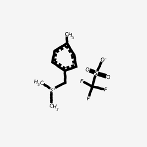 Cc1ccc(C[S+](C)C)cc1.O=S(=O)([O-])C(F)(F)F